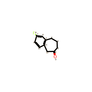 O=C1CCCc2cc(F)ccc2C1